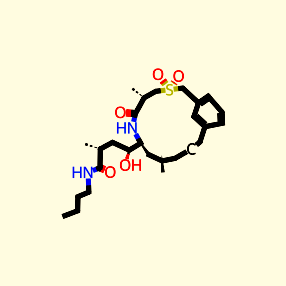 CCCCNC(=O)[C@H](C)C[C@H](O)[C@@H]1C[C@H](C)CCCc2cccc(c2)CS(=O)(=O)C[C@@H](C)C(=O)N1